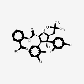 CC(C)(C)C[C@@H]1N[C@@H](C(=O)Nc2ccccc2C(=O)O)[C@H](c2cccc(Cl)c2F)[C@@]1(N)c1ccc(Cl)cc1F